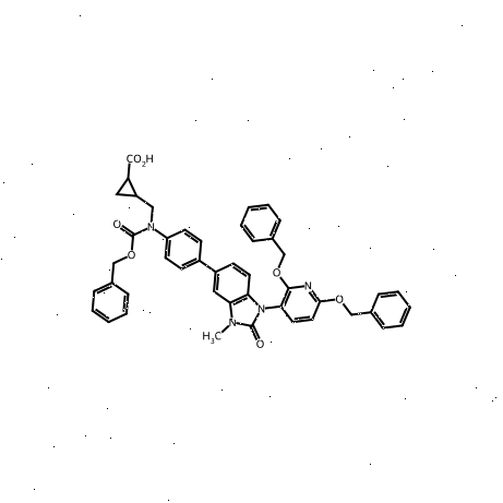 Cn1c(=O)n(-c2ccc(OCc3ccccc3)nc2OCc2ccccc2)c2ccc(-c3ccc(N(CC4CC4C(=O)O)C(=O)OCc4ccccc4)cc3)cc21